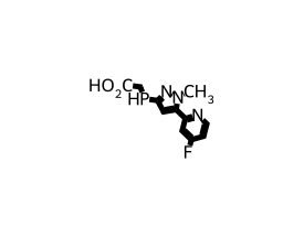 Cn1nc(PCC(=O)O)cc1-c1cc(F)ccn1